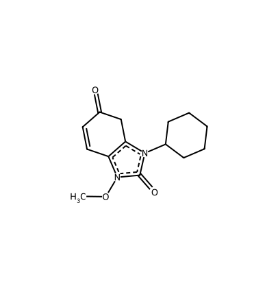 COn1c2c(n(C3CCCCC3)c1=O)CC(=O)C=C2